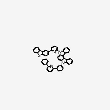 c1ccc(-c2cccc(-c3cccc(-n4c5ccccc5c5c6c7ccccc7n(-c7cccc(-c8ccc9sc%10ccccc%10c9c8)n7)c6ccc54)c3)n2)cc1